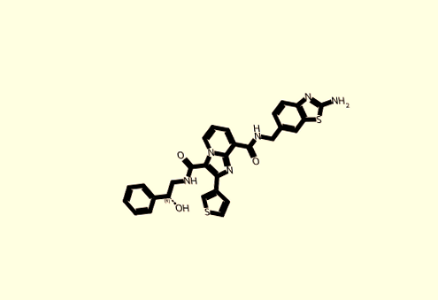 Nc1nc2ccc(CNC(=O)c3cccn4c(C(=O)NC[C@H](O)c5ccccc5)c(-c5ccsc5)nc34)cc2s1